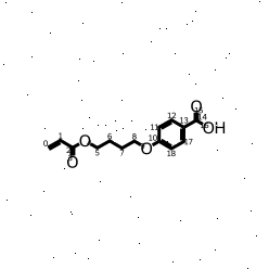 C=CC(=O)OCCCCOc1ccc(C(=O)O)cc1